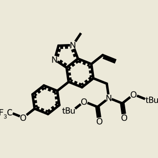 C=Cc1c(CN(C(=O)OC(C)(C)C)C(=O)OC(C)(C)C)cc(-c2ccc(OC(F)(F)F)cc2)c2ncn(C)c12